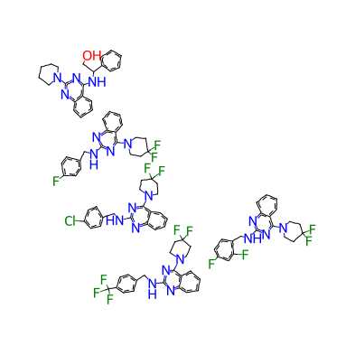 FC1(F)CCN(c2nc(NCc3ccc(C(F)(F)F)cc3)nc3ccccc23)CC1.FC1(F)CCN(c2nc(NCc3ccc(Cl)cc3)nc3ccccc23)CC1.Fc1ccc(CNc2nc(N3CCC(F)(F)CC3)c3ccccc3n2)c(F)c1.Fc1ccc(CNc2nc(N3CCC(F)(F)CC3)c3ccccc3n2)cc1.OCC(Nc1nc(N2CCCCC2)nc2ccccc12)c1ccccc1